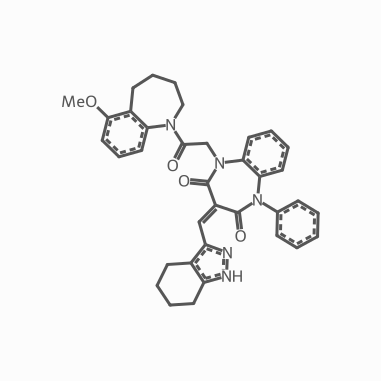 COc1cccc2c1CCCCN2C(=O)CN1C(=O)C(=Cc2n[nH]c3c2CCCC3)C(=O)N(c2ccccc2)c2ccccc21